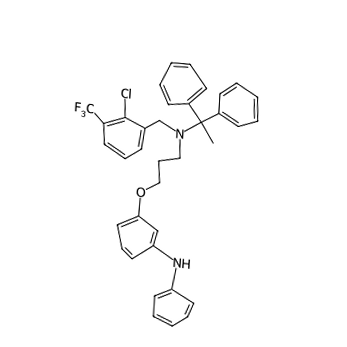 CC(c1ccccc1)(c1ccccc1)N(CCCOc1cccc(Nc2ccccc2)c1)Cc1cccc(C(F)(F)F)c1Cl